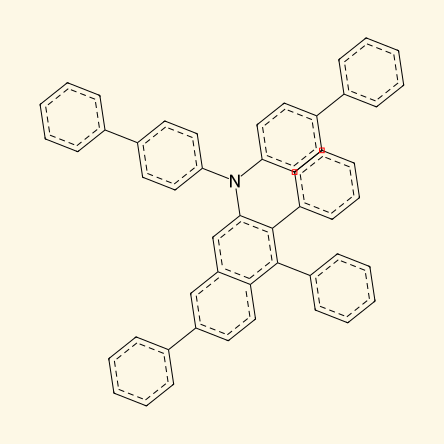 c1ccc(-c2ccc(N(c3ccc(-c4ccccc4)cc3)c3cc4cc(-c5ccccc5)ccc4c(-c4ccccc4)c3-c3ccccc3)cc2)cc1